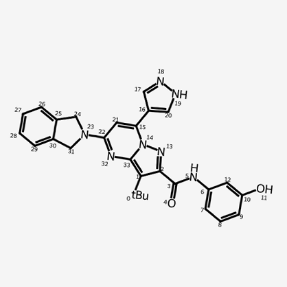 CC(C)(C)c1c(C(=O)Nc2cccc(O)c2)nn2c(-c3cn[nH]c3)cc(N3Cc4ccccc4C3)nc12